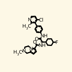 Cc1nccc(Cl)c1-c1ccc(NC(=O)[C@@H](NC(=O)c2ccc3n2CCN(C)C3)C2CCC(F)CC2)cc1